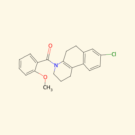 COc1ccccc1C(=O)N1CCCC2=C1CCc1cc(Cl)ccc12